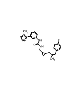 CN(Cc1ccc(F)cc1)CC1CC1CNC(=O)Nc1cccc(-c2nnnn2C)c1